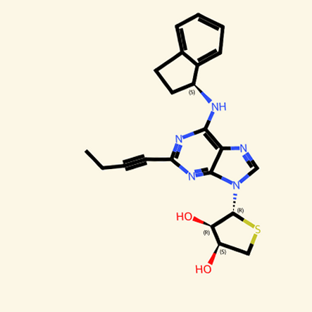 CCC#Cc1nc(N[C@H]2CCc3ccccc32)c2ncn([C@@H]3SC[C@@H](O)[C@H]3O)c2n1